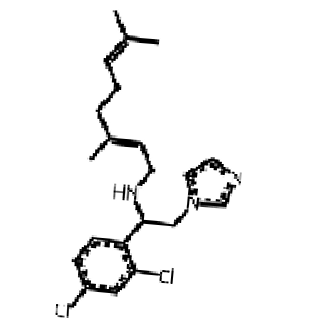 CC(C)=CCC/C(C)=C/CNC(Cn1ccnc1)c1ccc(Cl)cc1Cl